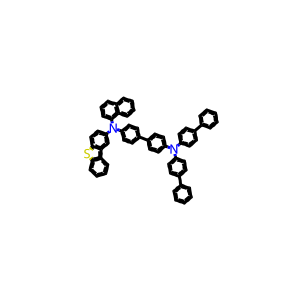 c1ccc(-c2ccc(N(c3ccc(-c4ccccc4)cc3)c3ccc(-c4ccc(N(c5ccc6sc7ccccc7c6c5)c5cccc6ccccc56)cc4)cc3)cc2)cc1